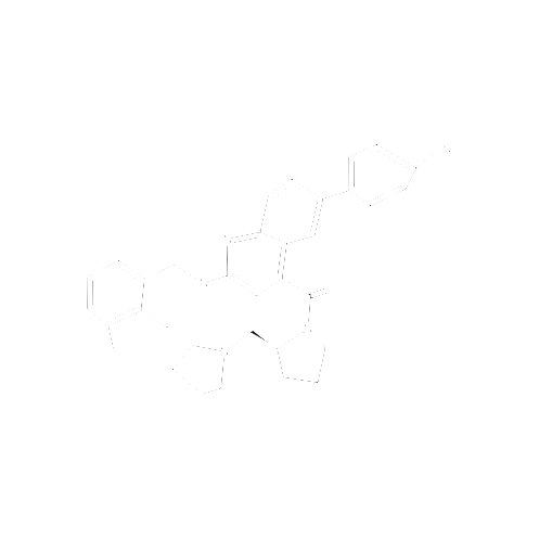 N#Cc1ccc(-c2ccc3nc(NCc4cccc(Cl)c4F)cc(C(=O)N4CCC[C@H]4CN4CCCC4)c3c2)cc1